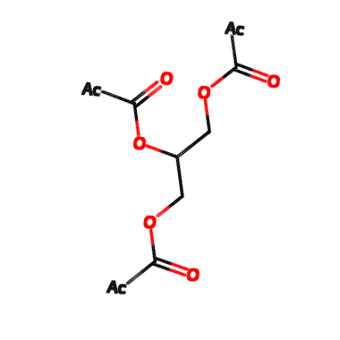 CC(=O)C(=O)OCC(COC(=O)C(C)=O)OC(=O)C(C)=O